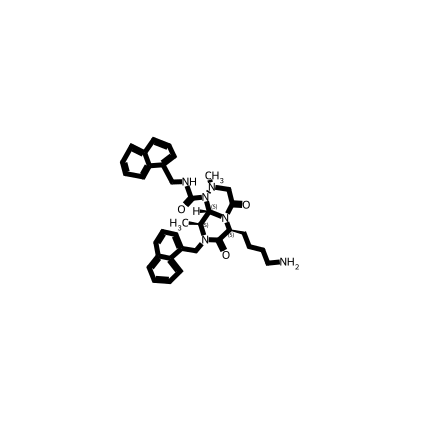 C[C@H]1[C@H]2N(C(=O)CN(C)N2C(=O)NCc2cccc3ccccc23)[C@@H](CCCCN)C(=O)N1Cc1cccc2ccccc12